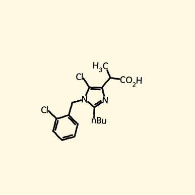 CCCCc1nc(C(C)C(=O)O)c(Cl)n1Cc1ccccc1Cl